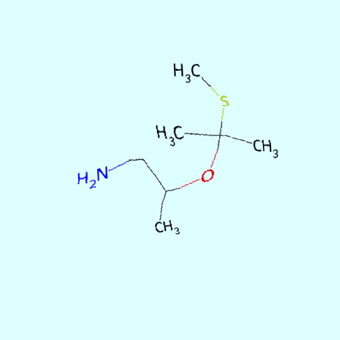 CSC(C)(C)OC(C)CN